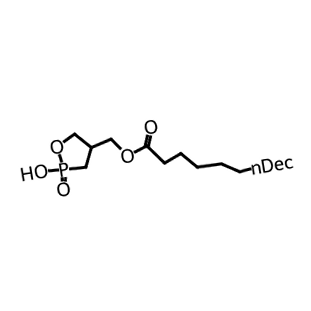 CCCCCCCCCCCCCCCC(=O)OCC1COP(=O)(O)C1